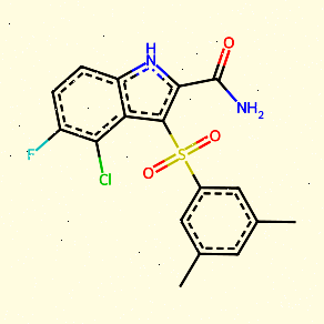 Cc1cc(C)cc(S(=O)(=O)c2c(C(N)=O)[nH]c3ccc(F)c(Cl)c23)c1